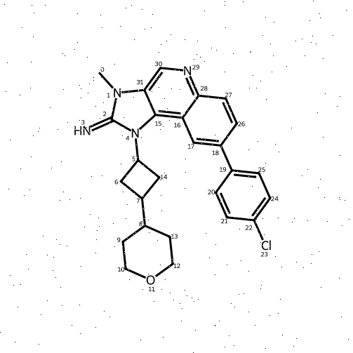 Cn1c(=N)n(C2CC(C3CCOCC3)C2)c2c3cc(-c4ccc(Cl)cc4)ccc3ncc21